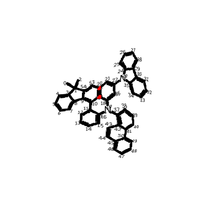 CC1(C)c2ccccc2-c2c(-c3ccccc3N(c3cccc(-n4c5ccccc5c5ccccc54)c3)c3cccc4c3ccc3ccccc34)cccc21